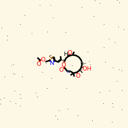 CC(=O)OCc1nc(C=C(C)[C@@H]2C[C@@H]3OC3(C)CCC[C@H](C)[C@H](O)[C@@H](C)C(=O)C(C)(C)/C=C/C(=O)O2)cs1